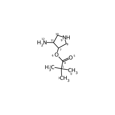 CC(C)(C)C(=O)OC1CNCC1N